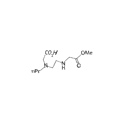 CCCN(CCNCC(=O)OC)CC(=O)O